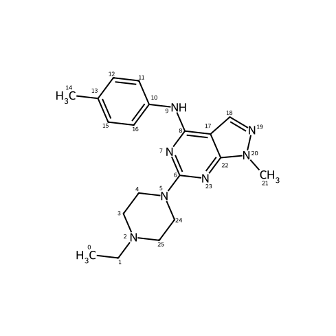 CCN1CCN(c2nc(Nc3ccc(C)cc3)c3cnn(C)c3n2)CC1